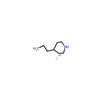 CCCC1CCNC[C@@H]1F